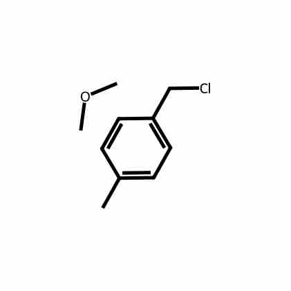 COC.Cc1ccc(CCl)cc1